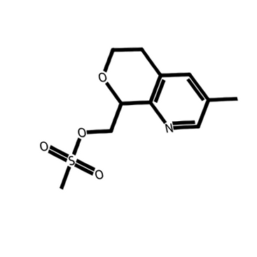 Cc1cnc2c(c1)CCOC2COS(C)(=O)=O